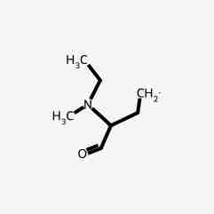 [CH2]CC(C=O)N(C)CC